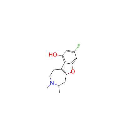 CC1Cc2oc3cc(F)cc(O)c3c2CCN1C